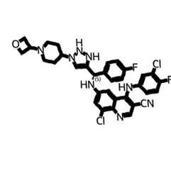 N#Cc1cnc2c(Cl)cc(N[C@H](C3=CN(C4CCN(C5COC5)CC4)NN3)c3ccc(F)cc3)cc2c1Nc1ccc(F)c(Cl)c1